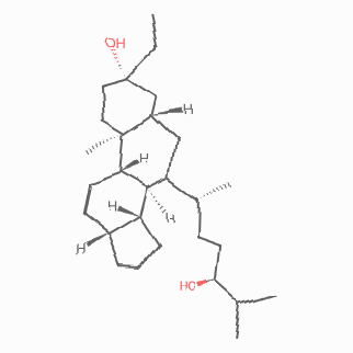 CC[C@]1(O)CC[C@@]2(C)[C@@H](CC([C@H](C)CC[C@H](O)C(C)C)[C@H]3[C@@H]4CCC[C@@H]4CC[C@@H]32)C1